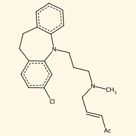 CC(=O)/C=C/CN(C)CCCN1c2ccccc2CCc2ccc(Cl)cc21